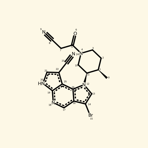 C[C@@H]1CCN(C(=O)CC#N)C[C@@H]1n1cc(Br)c2cnc3[nH]cc(C#N)c3c21